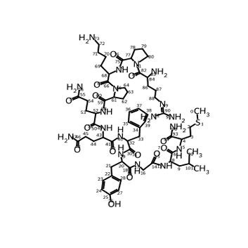 CSCCC(NC(=O)C(CC(C)C)NC(=O)CNC(=O)C(Cc1ccc(O)cc1)NC(=O)C(Cc1ccccc1)NC(=O)C(CCC(N)=O)NC(=O)C(CCC(N)=O)NC(=O)C1CCCN1C(=O)C(CCCCN)NC(=O)C1CCCN1C(=O)C(N)CCCN=C(N)N)C(N)=O